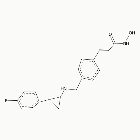 O=C(/C=C/c1ccc(CNC2CC2c2ccc(F)cc2)cc1)NO